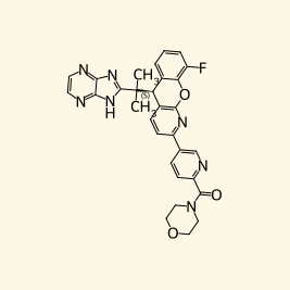 CC(C)(c1nc2nccnc2[nH]1)[C@@H]1c2ccc(-c3ccc(C(=O)N4CCOCC4)nc3)nc2Oc2c(F)cccc21